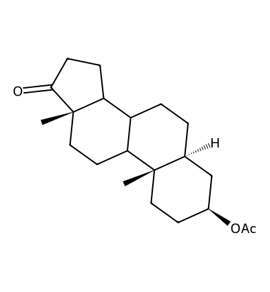 CC(=O)O[C@H]1CC[C@]2(C)C3CC[C@]4(C)C(=O)CCC4C3CC[C@H]2C1